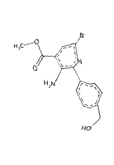 COC(=O)c1cc(Br)nc(-c2ccc(CO)cc2)c1N